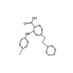 Cc1ccc(Nc2cc(CCc3ccccc3)ccc2C(=O)O)cc1